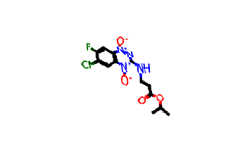 CC(C)OC(=O)CCNc1n[n+]([O-])c2cc(F)c(Cl)cc2[n+]1[O-]